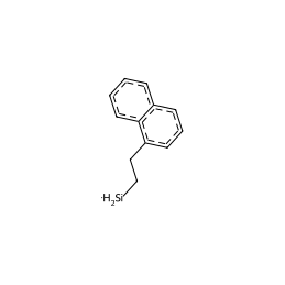 [SiH2]CCc1cccc2ccccc12